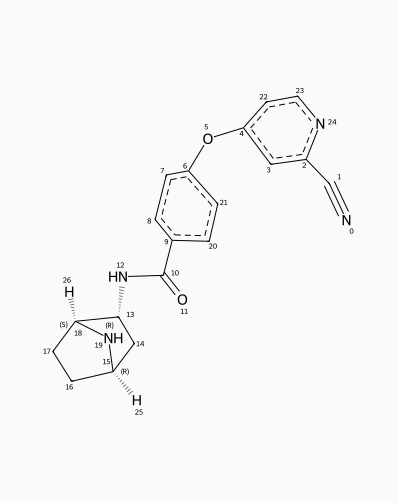 N#Cc1cc(Oc2ccc(C(=O)N[C@@H]3C[C@H]4CC[C@@H]3N4)cc2)ccn1